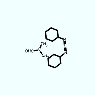 C(=NC1CCCCC1)=NC1CCCCC1.CN(C)C=O